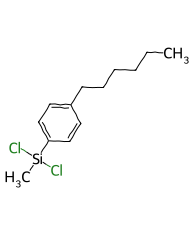 CCCCCCc1ccc([Si](C)(Cl)Cl)cc1